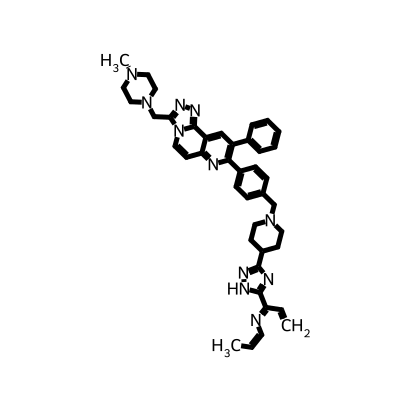 C=C/C(=N\C=C/C)c1nc(C2CCN(Cc3ccc(-c4nc5ccn6c(CN7CCN(C)CC7)nnc6c5cc4-c4ccccc4)cc3)CC2)n[nH]1